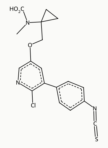 CN(C(=O)O)C1(COc2cnc(Cl)c(-c3ccc(N=C=S)cc3)c2)CC1